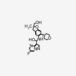 C[C@@]1(CO)Cc2cc(NC(O)c3cnn4cc(F)cnc34)c(N3CCOCC3)cc2O1